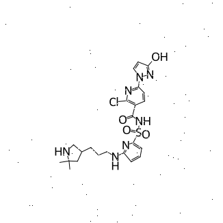 CC1(C)CC(CCCNc2cccc(S(=O)(=O)NC(=O)c3ccc(-n4ccc(O)n4)nc3Cl)n2)CN1